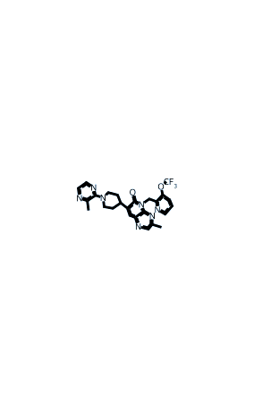 Cc1cnc2cc(C3CCN(c4nccnc4C)CC3)c(=O)n(Cc3ncccc3OC(F)(F)F)c2n1